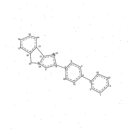 c1ccc(-c2ccc(-c3cn4c(n3)-c3ccccc3C4)cc2)cc1